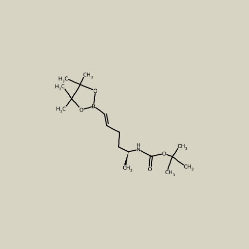 C[C@@H](CC/C=C/B1OC(C)(C)C(C)(C)O1)NC(=O)OC(C)(C)C